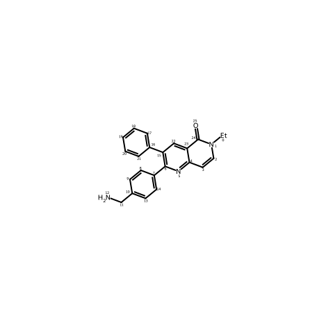 CCn1ccc2nc(-c3ccc(CN)cc3)c(-c3ccccc3)cc2c1=O